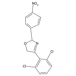 O=[N+]([O-])c1ccc(C2N=C(c3c(Cl)cccc3Cl)CO2)cc1